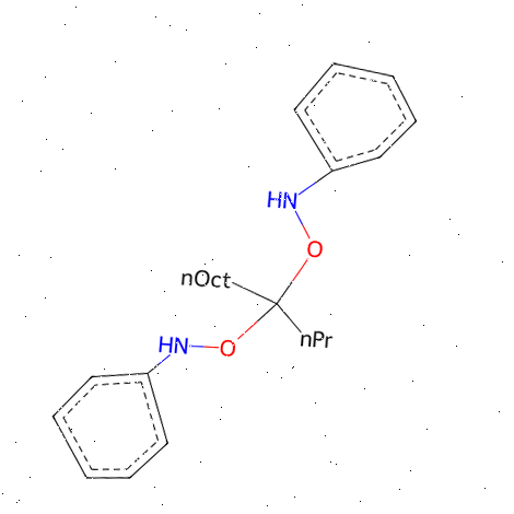 CCCCCCCCC(CCC)(ONc1ccccc1)ONc1ccccc1